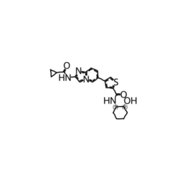 O=C(N[C@H]1CCCC[C@H]1O)c1cc(-c2ccc3nc(NC(=O)C4CC4)cn3c2)cs1